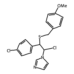 COc1ccc(CSC(c2ccc(Cl)cc2)C(Cl)n2ccnc2)cc1